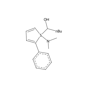 CCCCC(O)S1(N(C)C)C=CC=C1c1ccccc1